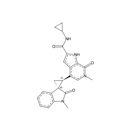 CN1C(=O)[C@@]2(C[C@H]2c2cn(C)c(=O)c3[nH]c(C(=O)NC4CC4)cc23)c2ccccc21